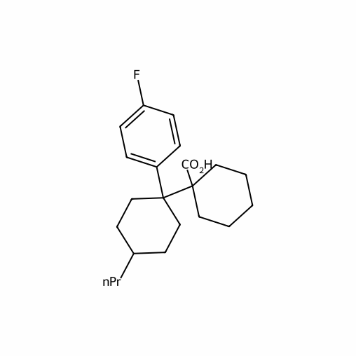 CCCC1CCC(c2ccc(F)cc2)(C2(C(=O)O)CCCCC2)CC1